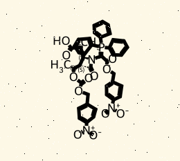 C[C@H](C(=O)O)[C@@H]1[C@@H]([C@@H](C)OC(=O)OCc2ccc([N+](=O)[O-])cc2)C(=O)N1C(C(=O)OCc1ccc([N+](=O)[O-])cc1)=P(c1ccccc1)(c1ccccc1)c1ccccc1